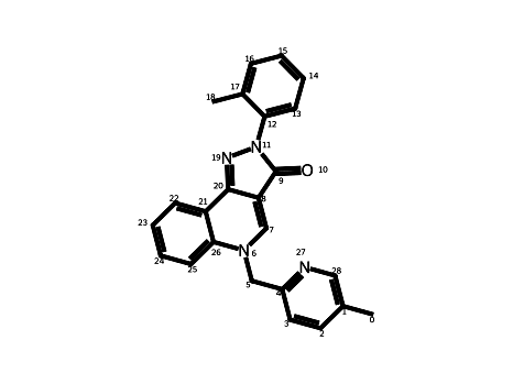 Cc1ccc(Cn2cc3c(=O)n(-c4ccccc4C)nc-3c3ccccc32)nc1